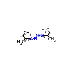 CCC(C)C#[N+]N=N[N+]#CC(C)CC